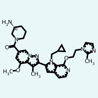 COc1cc(C(=O)N2CCC[C@@H](N)C2)cn2nc(-c3cc4ccnc(OCCn5ccnc5C)c4n3CC3CC3)c(C)c12